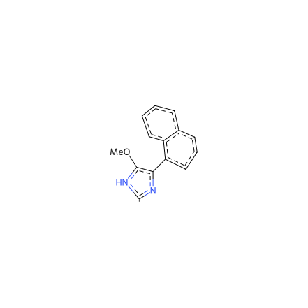 COc1[nH][c]nc1-c1cccc2ccccc12